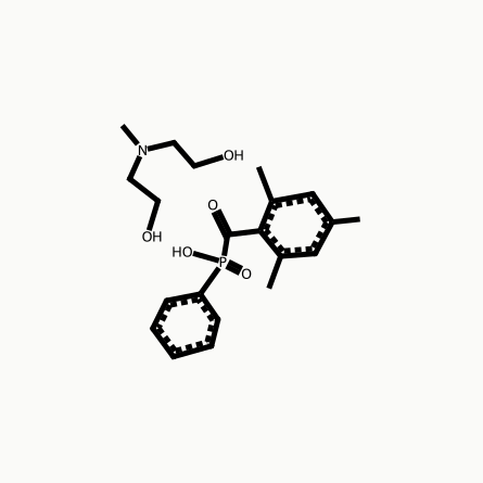 CN(CCO)CCO.Cc1cc(C)c(C(=O)P(=O)(O)c2ccccc2)c(C)c1